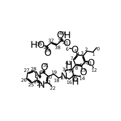 CCCc1c(OC)cc2c(c1OC)OC[C@@H]1CN(CCc3c(C)nc4ccccn4c3=O)C[C@H]21.O=C(O)/C=C/C(=O)O